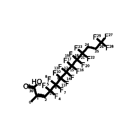 CC(=CC(F)(F)C(F)(F)C(F)(F)C(F)(F)C(F)(F)C(F)(F)C(F)(F)CCC(F)(F)F)C(=O)O